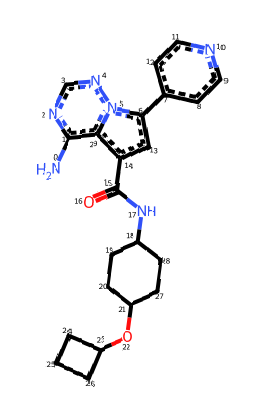 Nc1ncnn2c(-c3ccncc3)cc(C(=O)NC3CCC(OC4CCC4)CC3)c12